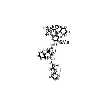 CCCCC1(CC)C(=O)[SH]c2cc(OCC(=O)N[C@@H](C(=O)NCCNC(=O)Nc3ncccn3)c3ccccc3)c(SC)cc2N(c2ccccc2)C1=O